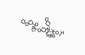 CC(C)(C)Sc1c(CC(C)(C)C(=O)O)n(Cc2ccc(Cl)cc2)c2ccc(OCC3CCCN3C(=O)c3cccc(Oc4ccccc4)c3)cc12